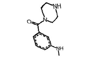 CNc1cccc(C(=O)N2CCNCC2)c1